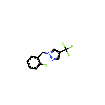 Fc1c[c]ccc1Cn1cc(C(F)(F)F)cn1